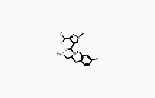 COCC(Cc1ccc(Cl)cc1Cl)NC(=O)c1cn(C)nc1C(F)F